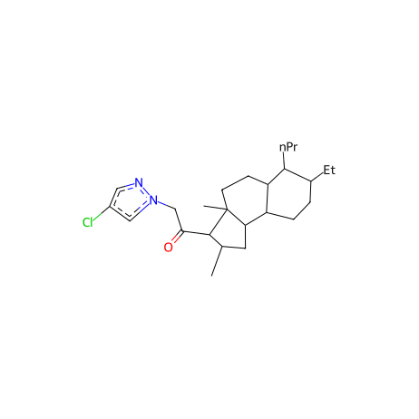 CCCC1C(CC)CCC2C1CCC1(C)C2CC(C)C1C(=O)Cn1cc(Cl)cn1